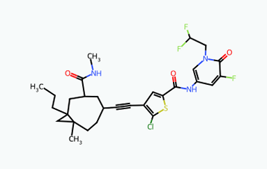 CCCC12CC(C(=O)NC)CC(C#Cc3cc(C(=O)Nc4cc(F)c(=O)n(CC(F)F)c4)sc3Cl)CCC1(C)C2